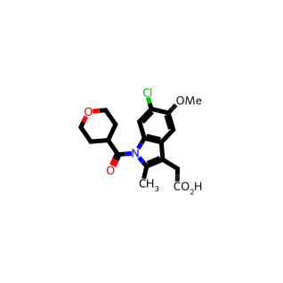 COc1cc2c(CC(=O)O)c(C)n(C(=O)C3CCOCC3)c2cc1Cl